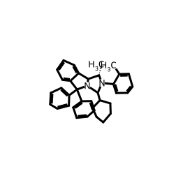 Cc1ccccc1N1C(C2CCCCC2)N2C(c3ccccc3C2(c2ccccc2)c2ccccc2)[C@@H]1C